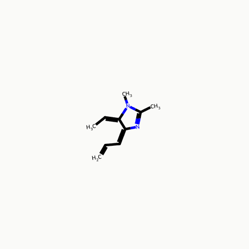 C=C/C=c1/nc(C)n(C)/c1=C/C